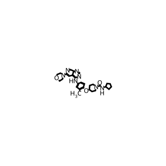 Cc1cc(Nc2ncnc3cnc(N4CCOCC4)cc23)ccc1OC1CCN(C(=O)NC2CCCC2)CC1